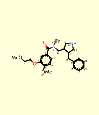 COCCOc1cc(C(=O)N(CC2CNCC2Cc2ccccc2)C(C)C)ccc1OC